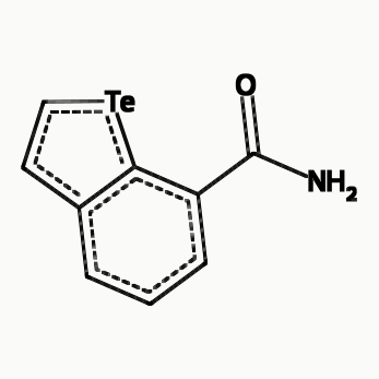 NC(=O)c1cccc2cc[te]c12